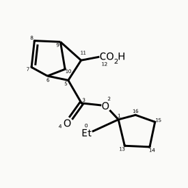 CCC1(OC(=O)C2C3C=CC(C3)C2C(=O)O)CCCC1